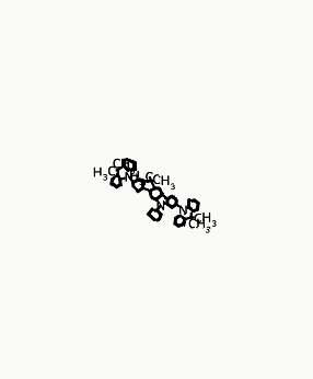 CC1(C)c2cc(N3c4ccccc4C(C)(C)c4ccccc43)ccc2-c2cc3c(cc21)c1ccc(N2c4ccccc4C(C)(C)c4ccccc42)cc1n3-c1ccccc1